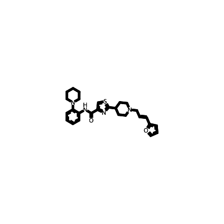 O=C(Nc1ccccc1N1CCCCC1)c1csc(C2CCN(C/C=C/c3ccco3)CC2)n1